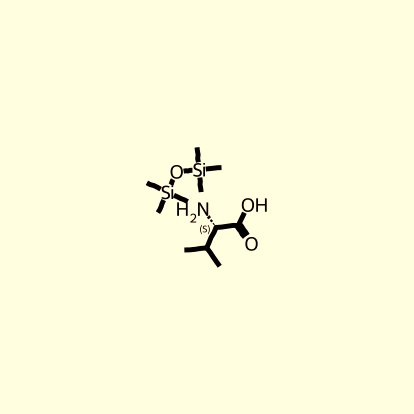 CC(C)[C@H](N)C(=O)O.C[Si](C)(C)O[Si](C)(C)C